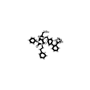 CC(C)(C)Cc1nc2c(c(=O)n(CCc3ccccc3)c(=O)n2-c2ccccc2)n1Cc1ccc(-c2ccccc2-c2nnn[nH]2)cc1